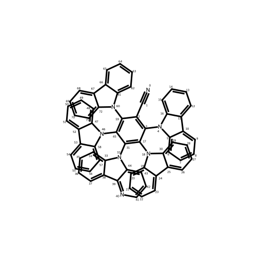 N#Cc1c(-n2c3ccccc3c3ccccc32)c(-n2c3ccccc3c3ccccc32)c(-n2c3ccccc3c3ncccc32)c(-n2c3ccccc3c3ccccc32)c1-n1c2ccccc2c2ccccc21